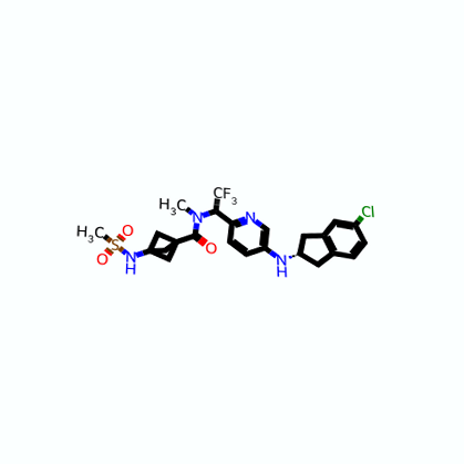 CN(C(=O)C12CC(NS(C)(=O)=O)(C1)C2)C(c1ccc(N[C@H]2Cc3ccc(Cl)cc3C2)cn1)C(F)(F)F